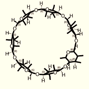 CC1[C@@H]2OC(C)[C@@H](O[C@H]3OC(C)[C@@H](O[C@H]4OC(C)[C@@H](O[C@@H]5OC(C)[C@@H](O[C@H]6OC(C)[C@@H](O[C@@H]7OC(C)[C@@H](O[C@H]8OC(C)[C@@H](O2)[C@H](C)C8C)[C@H](C)C7C)[C@H](C)C6C)[C@H](C)C5C)[C@H](C)C4C)[C@H](C)C3C)[C@@H]1C